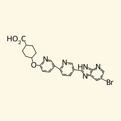 O=C(O)C1CCC(Oc2ccc(-c3ccc(-c4nc5cc(Br)cnc5[nH]4)cn3)cn2)CC1